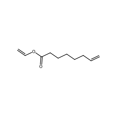 C=CCCCCCC(=O)OC=C